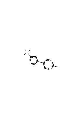 Cc1ncc(-c2coc([Si](C)(C)C)c2)cn1